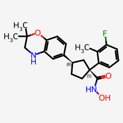 Cc1c(F)cccc1[C@]1(C(=O)NO)CC[C@@H](c2ccc3c(c2)NCC(C)(C)O3)C1